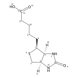 O=C1N[C@H]2[C@H](CS[C@H]2CCCC[13C](=O)O)N1